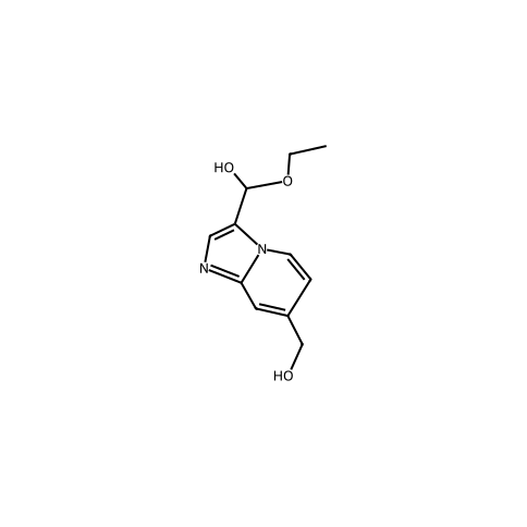 CCOC(O)c1cnc2cc(CO)ccn12